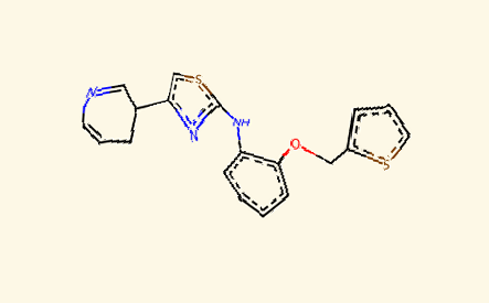 C1=CN=CC(c2csc(Nc3ccccc3OCc3cccs3)n2)C1